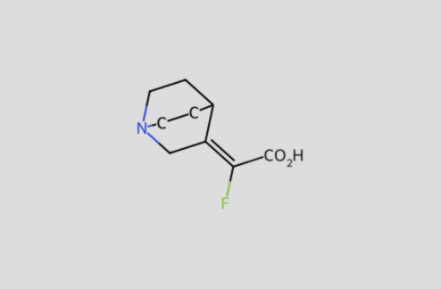 O=C(O)C(F)=C1CN2CCC1CC2